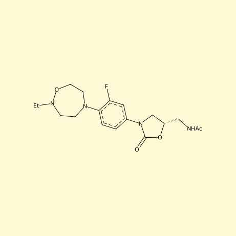 CCN1CCN(c2ccc(N3C[C@H](CNC(C)=O)OC3=O)cc2F)CCO1